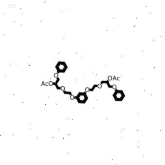 CC(=O)OC(COCCOc1cccc(OCCOCC(COc2ccccc2)OC(C)=O)c1)COc1ccccc1